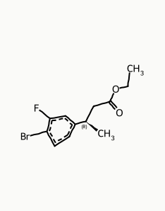 CCOC(=O)C[C@@H](C)c1ccc(Br)c(F)c1